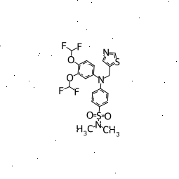 CN(C)S(=O)(=O)c1ccc(N(Cc2cncs2)c2ccc(OC(F)F)c(OC(F)F)c2)cc1